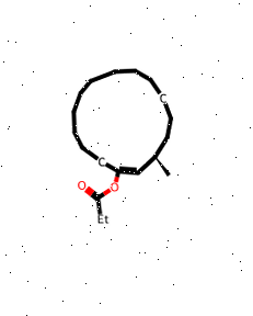 CCC(=O)O/C1=C/[C@H](C)CCCCCCCCCCCC1